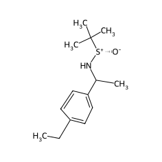 CCc1ccc(C(C)N[S@@+]([O-])C(C)(C)C)cc1